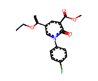 C=C(OCC)c1cc(C(=O)OC)c(=O)n(-c2ccc(F)cc2)c1